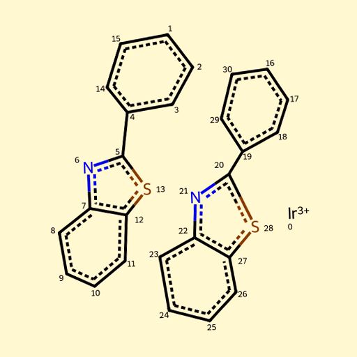 [Ir+3].c1ccc(-c2nc3ccccc3s2)cc1.c1ccc(-c2nc3ccccc3s2)cc1